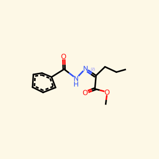 CCC/C(=N/NC(=O)c1ccccc1)C(=O)OC